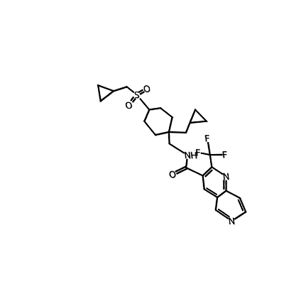 O=C(NCC1(CC2CC2)CCC(S(=O)(=O)CC2CC2)CC1)c1cc2cnccc2nc1C(F)(F)F